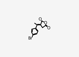 C/C(=C1/CC(=O)OC1=O)c1ccc(Br)cc1